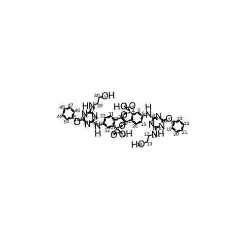 O=S(=O)(O)c1cc(Nc2nc(NCCO)nc(Oc3ccccc3)n2)ccc1C=Cc1ccc(Nc2nc(NCCO)nc(Oc3ccccc3)n2)cc1S(=O)(=O)O